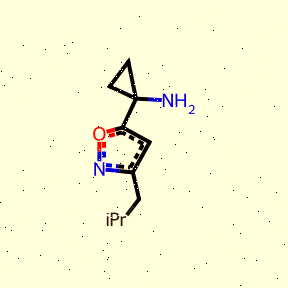 CC(C)Cc1cc(C2(N)CC2)on1